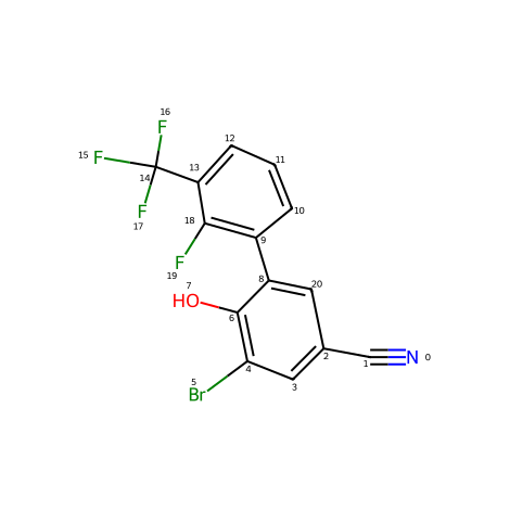 N#Cc1cc(Br)c(O)c(-c2cccc(C(F)(F)F)c2F)c1